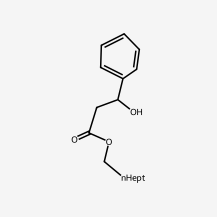 CCCCCCCCOC(=O)CC(O)c1ccccc1